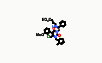 COc1cccc(-c2c(C)n(Cc3c(C)cccc3F)c(=O)n(C[C@H](NCCCC(=O)O)c3ccccc3)c2=O)c1Cl